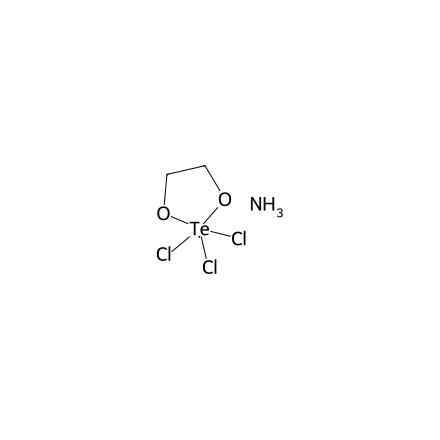 Cl[Te]1(Cl)(Cl)OCCO1.N